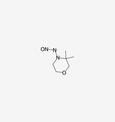 CC1(C)COCCN1[N]N=O